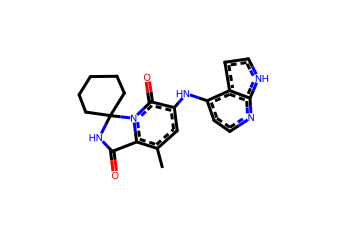 Cc1cc(Nc2ccnc3[nH]ccc23)c(=O)n2c1C(=O)NC21CCCCC1